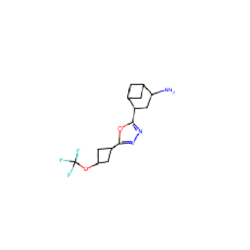 NC1CC(c2nnc(C3CC(OC(F)(F)F)C3)o2)C2CC1C2